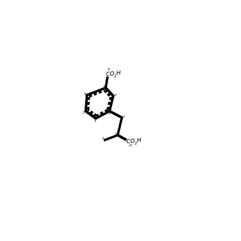 CC(Cc1cccc(C(=O)O)c1)C(=O)O